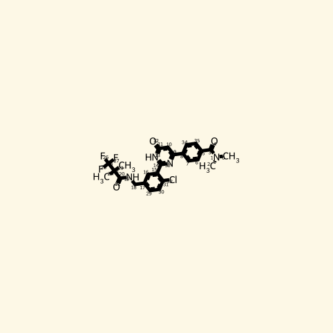 CN(C)C(=O)c1ccc(-c2cc(=O)[nH]c(-c3cc(CNC(=O)C(C)(C)C(F)(F)F)ccc3Cl)n2)cc1